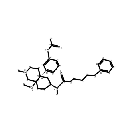 CO[C@]12CC[C@H](N(C)C(=O)CCCCCc3ccccc3)C[C@]1(c1cccc(OC(C)=O)c1)CCN(C)C2